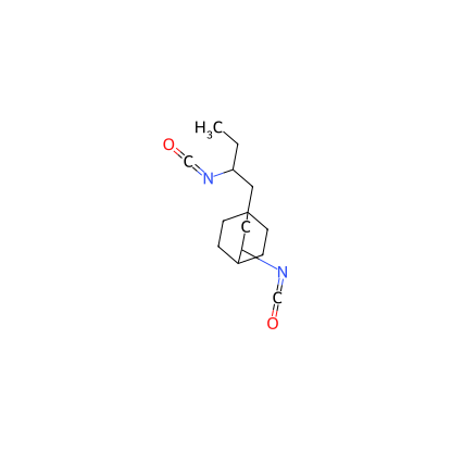 CCC(CC12CCC(CC1)C(N=C=O)C2)N=C=O